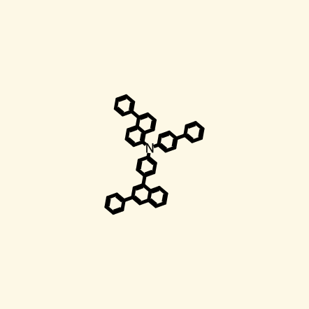 c1ccc(-c2ccc(N(c3ccc(-c4cc(-c5ccccc5)cc5ccccc45)cc3)c3cccc4c(-c5ccccc5)cccc34)cc2)cc1